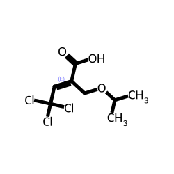 CC(C)OC/C(=C\C(Cl)(Cl)Cl)C(=O)O